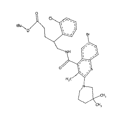 Cc1c(N2CCCC(C)(C)C2)nc2ccc(Br)cc2c1C(=O)NCC(CCC(=O)OC(C)(C)C)c1ccccc1Cl